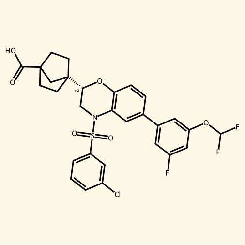 O=C(O)C12CCC([C@H]3CN(S(=O)(=O)c4cccc(Cl)c4)c4cc(-c5cc(F)cc(OC(F)F)c5)ccc4O3)(CC1)C2